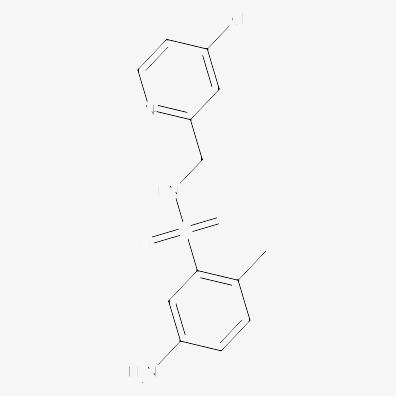 Cc1ccc(N)cc1S(=O)(=O)NCc1cc(Cl)ccn1